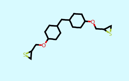 C1CC(OCC2CS2)CCC1CC1CCC(OCC2CS2)CC1